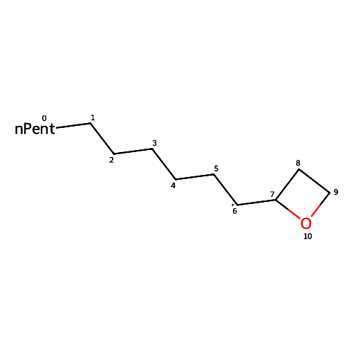 CCCCCCCCCC[CH]C1CCO1